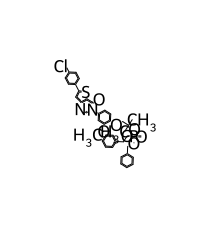 COc1cc(-n2cnc3cc(-c4ccc(Cl)cc4)sc3c2=O)ccc1OCC(C)(C)OP(=O)(OCc1ccccc1)OCc1ccccc1